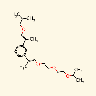 CC(=COCCOCCOC(C)C)c1cccc(C(C)=COCC(C)C)c1